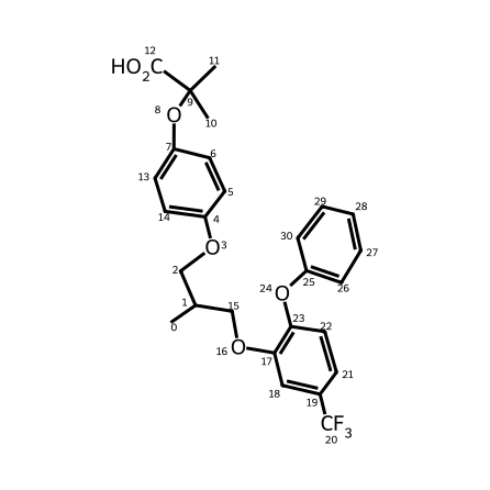 CC(COc1ccc(OC(C)(C)C(=O)O)cc1)COc1cc(C(F)(F)F)ccc1Oc1ccccc1